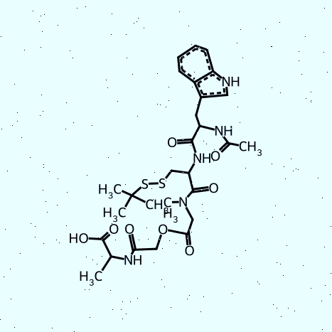 CC(=O)NC(Cc1c[nH]c2ccccc12)C(=O)NC(CSSC(C)(C)C)C(=O)N(C)CC(=O)OCC(=O)NC(C)C(=O)O